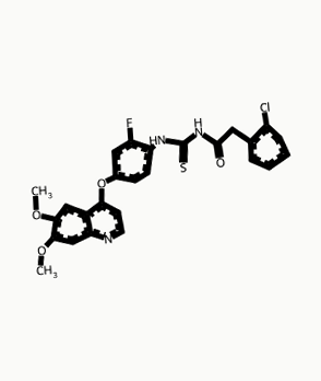 COc1cc2nccc(Oc3ccc(NC(=S)NC(=O)Cc4ccccc4Cl)c(F)c3)c2cc1OC